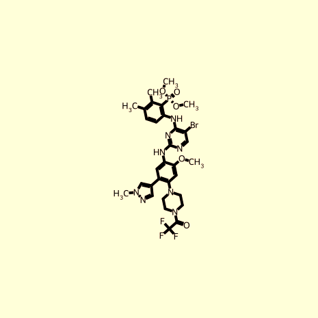 COc1cc(N2CCN(C(=O)C(F)(F)F)CC2)c(-c2cnn(C)c2)cc1Nc1ncc(Br)c(Nc2ccc(C)c(C)c2P(=O)(OC)OC)n1